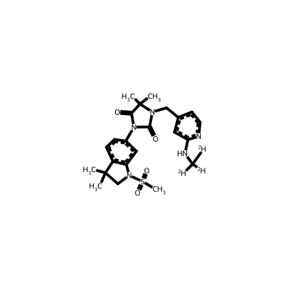 [2H]C([2H])([2H])Nc1cc(CN2C(=O)N(c3ccc4c(c3)N(S(C)(=O)=O)CC4(C)C)C(=O)C2(C)C)ccn1